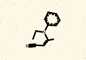 CCN(/C(C)=C\C#N)c1ccccc1